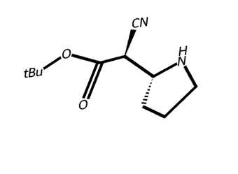 CC(C)(C)OC(=O)[C@@H](C#N)[C@H]1CCCN1